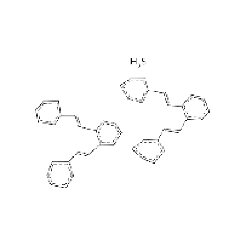 C(=C\c1ccccc1/C=C/c1ccccc1)/c1ccccc1.C(=C\c1ccccc1/C=C/c1ccccc1)/c1ccccc1.S